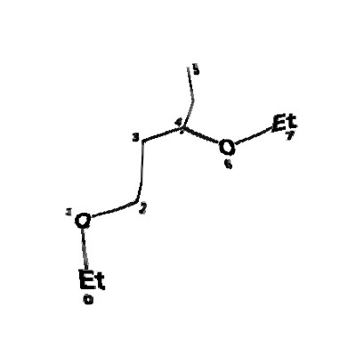 CCOCC[C](C)OCC